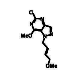 COCC=CCn1ncc2nc(Cl)nc(OC)c21